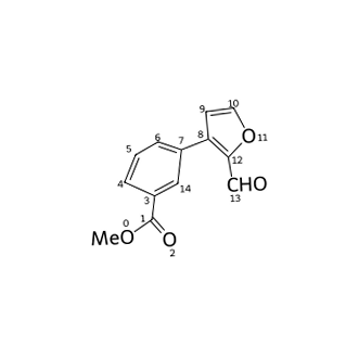 COC(=O)c1cccc(-c2ccoc2C=O)c1